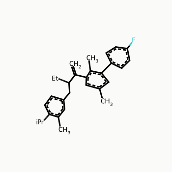 C=C(c1cc(C)cc(-c2ccc(F)cc2)c1C)C(CC)Cc1ccc(C(C)C)c(C)c1